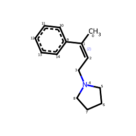 C/C(=C/CN1CCCC1)c1ccccc1